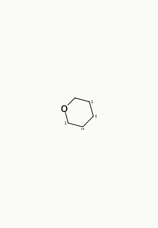 [C]1[C][C]OC[C]1